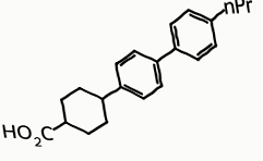 CCCc1ccc(-c2ccc(C3CCC(C(=O)O)CC3)cc2)cc1